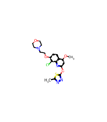 COc1cc(Oc2nnc(C)s2)nc2c(Cl)c(OCCN3CCOCC3)ccc12